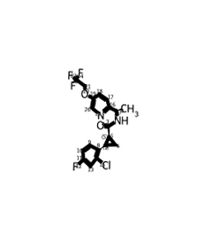 C[C@H](NC(=O)[C@H]1C[C@@H]1c1ccc(F)cc1Cl)c1ccc(OCC(F)(F)F)cn1